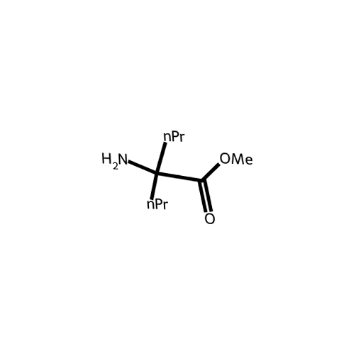 CCCC(N)(CCC)C(=O)OC